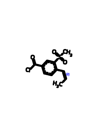 C/C=C\c1ccc(C(=O)Cl)cc1S(C)(=O)=O